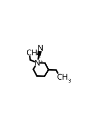 CCC1CCC[N+](C#N)(CC)C1